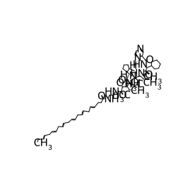 CCC=CCC=CCC=CCC=CCC=CCC=CCCC(=O)NCCNC(=O)C(=O)[C@@H](NC(=O)[C@H]1[C@H]2CCC[C@H]2CN1C(=O)[C@H](NC(=O)[C@@H](NC(=O)c1cnccn1)C1CCCCC1)C(C)(C)C)C(C)C